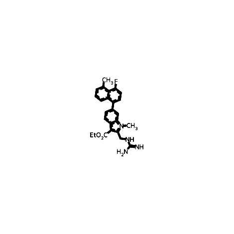 CCOC(=O)c1c(CNC(=N)N)n(C)c2cc(-c3ccc(F)c4c(C)cccc34)ccc12